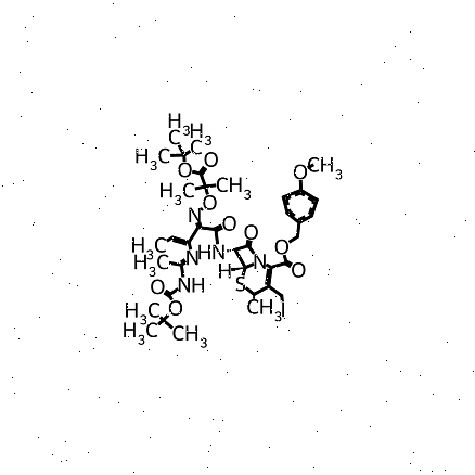 C/C=C(\N=C(/C)NC(=O)OC(C)(C)C)C(=N/OC(C)(C)C(=O)OC(C)(C)C)/C(=O)N[C@@H]1C(=O)N2C(C(=O)OCc3ccc(OC)cc3)=C(CI)[C@H](C)S[C@H]12